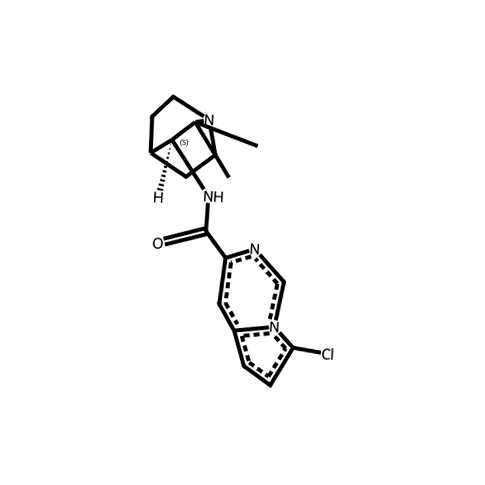 CC1(C)[C@@H](NC(=O)c2cc3ccc(Cl)n3cn2)C2CCN1CC2